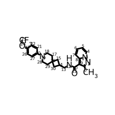 Cc1nn2ccccc2c1C(=O)NCC1CC2(CCN(c3ccc(OC(F)(F)F)cc3)CC2)C1